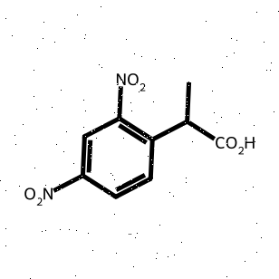 CC(C(=O)O)c1ccc([N+](=O)[O-])cc1[N+](=O)[O-]